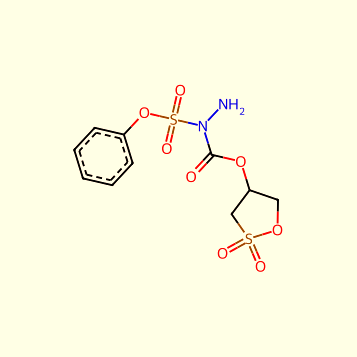 NN(C(=O)OC1COS(=O)(=O)C1)S(=O)(=O)Oc1ccccc1